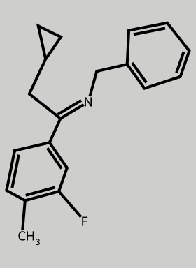 Cc1ccc(/C(CC2CC2)=N/Cc2ccccc2)cc1F